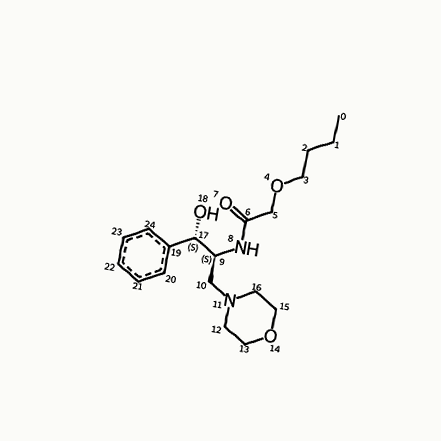 CCCCOCC(=O)N[C@@H](CN1CCOCC1)[C@@H](O)c1ccccc1